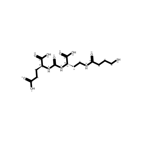 O=C(O)CC[C@H](NC(=O)N[C@@H](CCNC(=O)CCCS)C(=O)O)C(=O)O